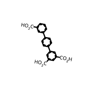 O=C(O)c1cccc(-c2ccc(-c3cc(C(=O)O)cc(C(=O)O)c3)cc2)c1